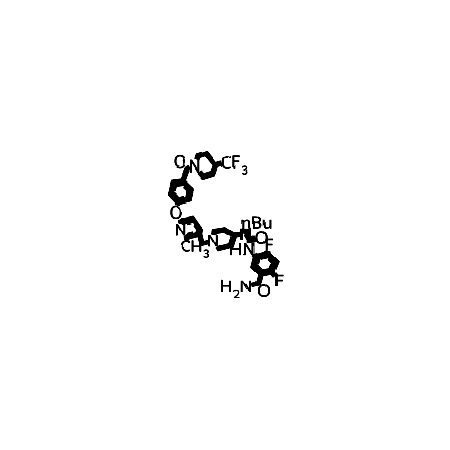 CCCCN(C(=O)Nc1cc(C(N)=O)c(F)cc1F)C1CCN(Cc2ccc(Oc3ccc(C(=O)N4CCC(C(F)(F)F)CC4)cc3)nc2C)CC1